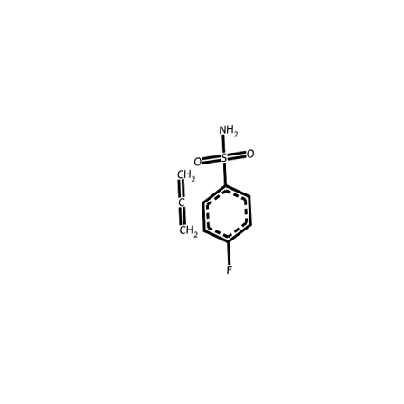 C=C=C.NS(=O)(=O)c1ccc(F)cc1